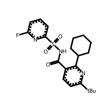 CC(C)(C)c1ccc(C(=O)NS(=O)(=O)c2cccc(F)n2)c(C2CCCCC2)n1